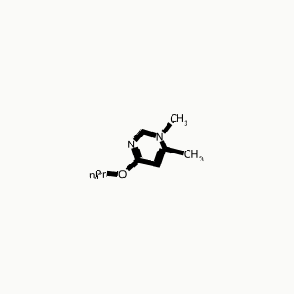 CCCOC1=NCN(C)C(C)=C1